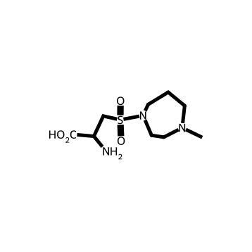 CN1CCCN(S(=O)(=O)CC(N)C(=O)O)CC1